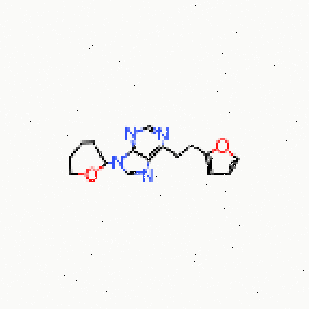 c1coc(CCc2ncnc3c2ncn3C2CCCCO2)c1